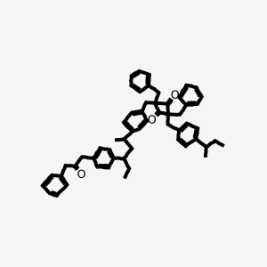 CCC(C)c1ccc(CC2(Cc3ccccc3)C(=O)C(Cc3ccccc3)(Cc3ccc(C(C)CC(CC)c4ccc(CC(=O)Cc5ccccc5)cc4)cc3)C2=O)cc1